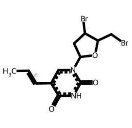 C/C=C/c1cn(C2CC(Br)C(CBr)O2)c(=O)[nH]c1=O